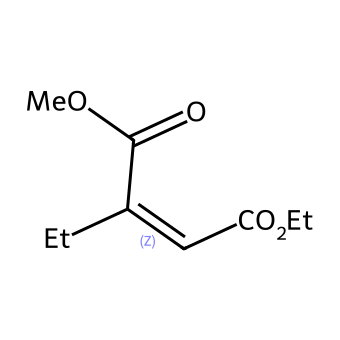 CCOC(=O)/C=C(/CC)C(=O)OC